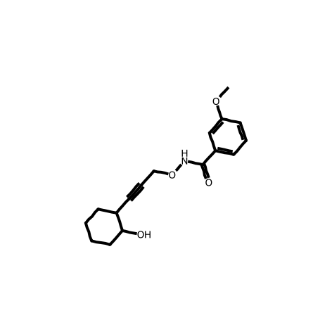 COc1cccc(C(=O)NOCC#CC2CCCCC2O)c1